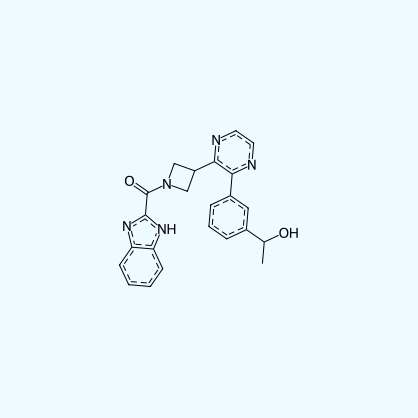 CC(O)c1cccc(-c2nccnc2C2CN(C(=O)c3nc4ccccc4[nH]3)C2)c1